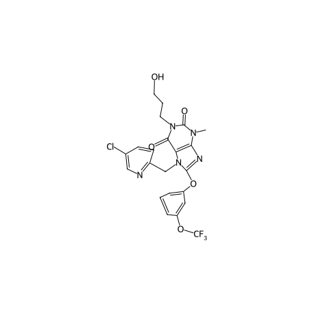 Cn1c(=O)n(CCCO)c(=O)c2c1nc(Oc1cccc(OC(F)(F)F)c1)n2Cc1ccc(Cl)cn1